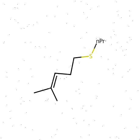 CC[CH]SCCC=C(C)C